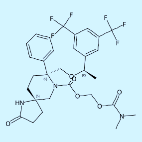 C[C@@H](OC[C@@]1(c2ccccc2)CC[C@]2(CCC(=O)N2)CN1C(=O)OCOC(=O)N(C)C)c1cc(C(F)(F)F)cc(C(F)(F)F)c1